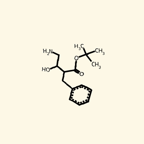 CC(C)(C)OC(=O)C(Cc1ccccc1)C(O)CN